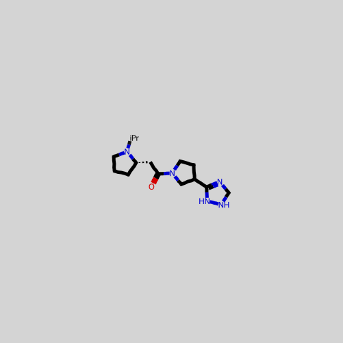 CC(C)N1CCC[C@H]1CC(=O)N1CCC(C2=NCNN2)C1